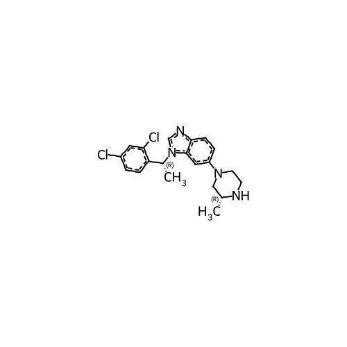 C[C@@H]1CN(c2ccc3ncn([C@H](C)c4ccc(Cl)cc4Cl)c3c2)CCN1